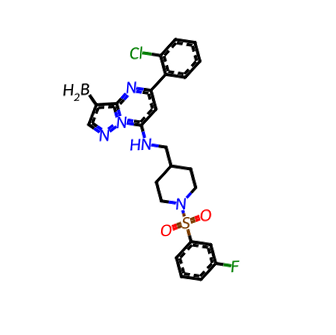 Bc1cnn2c(NCC3CCN(S(=O)(=O)c4cccc(F)c4)CC3)cc(-c3ccccc3Cl)nc12